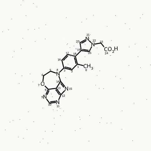 Cc1cc(N2CCOc3ncnc4c3C2=N4)ccc1-c1cnn(CC(=O)O)c1